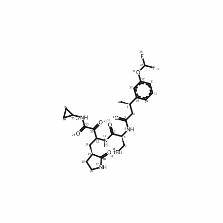 C[C@H](CC(=O)N[C@@H](CC(C)(C)C)C(=O)NC(C[C@@H]1CCNC1=O)C(=O)C(=O)NC1CC1)c1cccc(OC(F)F)c1